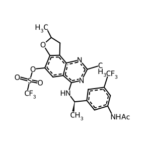 CC(=O)Nc1cc([C@@H](C)Nc2nc(C)nc3c4c(c(OS(=O)(=O)C(F)(F)F)cc23)OC(C)C4)cc(C(F)(F)F)c1